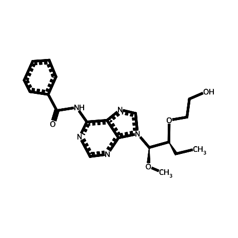 CC[C@H](OCCO)[C@@H](OC)n1cnc2c(NC(=O)c3ccccc3)ncnc21